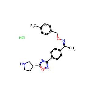 CC(=NOCc1ccc(C(F)(F)F)cc1)c1ccc(-c2noc([C@@H]3CCNC3)n2)cc1.Cl